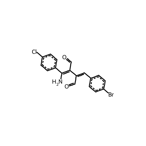 N/C(=C(C=O)\C(C=O)=C\c1ccc(Br)cc1)c1ccc(Cl)cc1